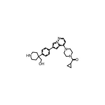 O=C(C1CC1)N1CCN(c2ccnn3cc(-c4ccc(C5(CO)CCNCC5)cc4)cc23)CC1